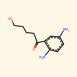 Nc1ccc(N)c(C(=O)CCCCO)c1